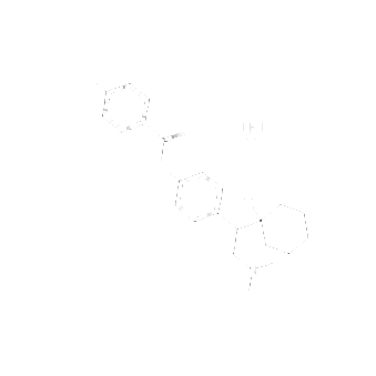 Cc1ccc(C(=O)Oc2ccc(C(CN(C)C)C3(O)CCCCC3)cc2)cc1.Cl.O